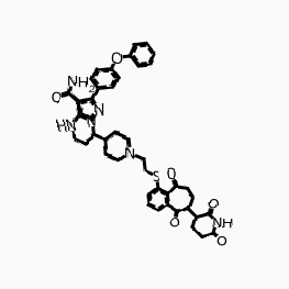 NC(=O)c1c(-c2ccc(Oc3ccccc3)cc2)nn2c1NCCC2C1CCN(CCSc2cccc3c2C(=O)CCC(C2CCC(=O)NC2=O)C3=O)CC1